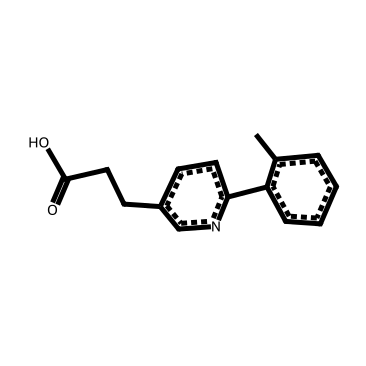 Cc1ccccc1-c1ccc(CCC(=O)O)cn1